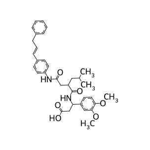 COc1ccc(C(CC(=O)O)NC(=O)C(CC(=O)Nc2ccc(C=CCc3ccccc3)cc2)CC(C)C)cc1OC